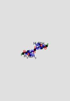 CN[C@@H](C)C(=O)N[C@@H](CCCCNC(=O)c1ccc(C(=O)NCCCC[C@H](NC(=O)[C@H](C)NC)C(=O)N2CCC[C@H]2c2cncc(C(=O)c3ccc(F)cc3)c2)cc1)C(=O)N1CCC[C@H]1c1cncc(C(=O)c2ccc(F)cc2)c1